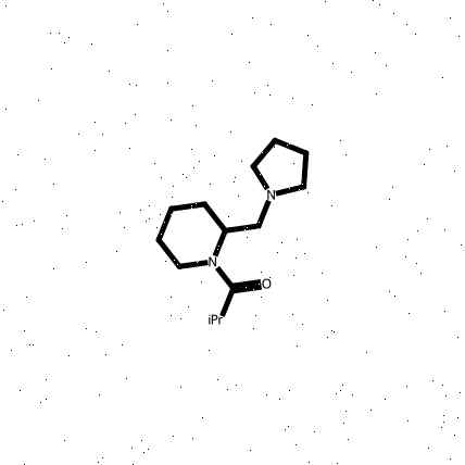 CC(C)C(=O)N1CCCCC1CN1CCCC1